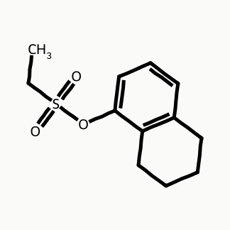 CCS(=O)(=O)Oc1cccc2c1CCCC2